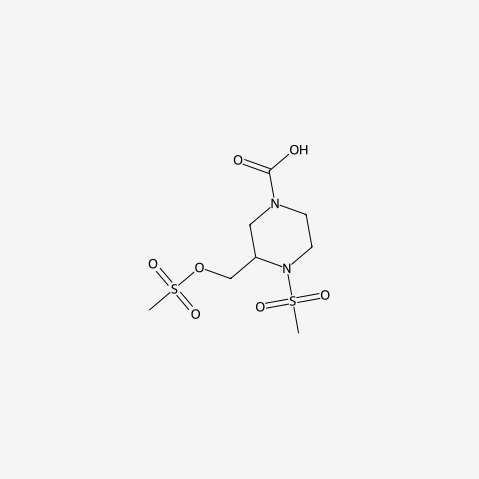 CS(=O)(=O)OCC1CN(C(=O)O)CCN1S(C)(=O)=O